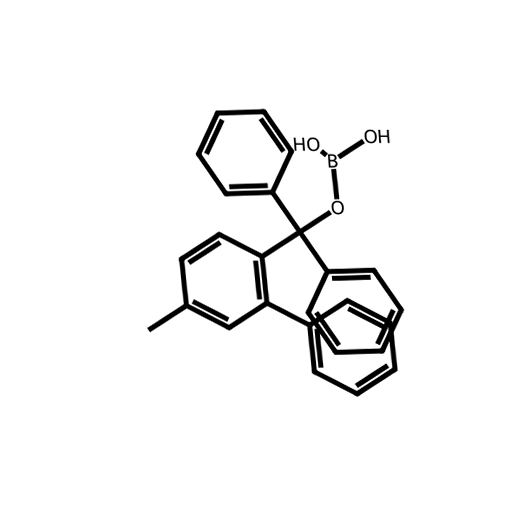 Cc1ccc(C(OB(O)O)(c2ccccc2)c2ccccc2)c(-c2ccccc2)c1